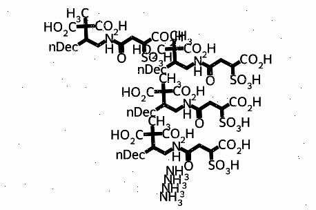 CCCCCCCCCCC(CNC(=O)CC(C(=O)O)S(=O)(=O)O)C(C)(C(=O)O)C(=O)O.CCCCCCCCCCC(CNC(=O)CC(C(=O)O)S(=O)(=O)O)C(C)(C(=O)O)C(=O)O.CCCCCCCCCCC(CNC(=O)CC(C(=O)O)S(=O)(=O)O)C(C)(C(=O)O)C(=O)O.CCCCCCCCCCC(CNC(=O)CC(C(=O)O)S(=O)(=O)O)C(C)(C(=O)O)C(=O)O.N.N.N.N